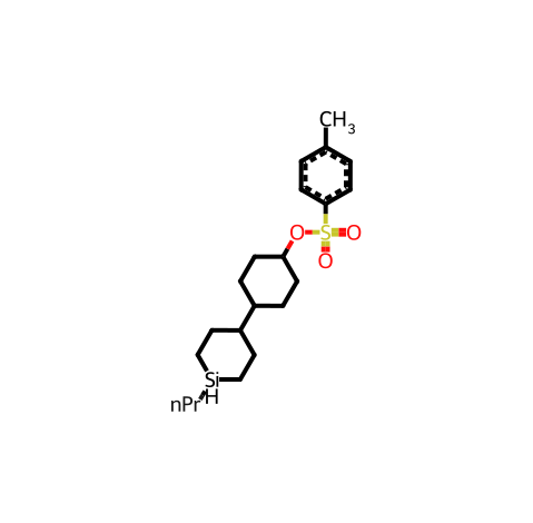 CCC[SiH]1CCC(C2CCC(OS(=O)(=O)c3ccc(C)cc3)CC2)CC1